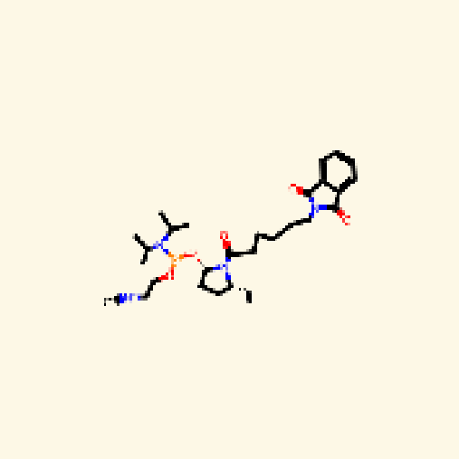 [C-]#[N+]CCOP(O[C@H]1CC[C@@H](CC)N1C(=O)CCCCCN1C(=O)c2ccccc2C1=O)N(C(C)C)C(C)C